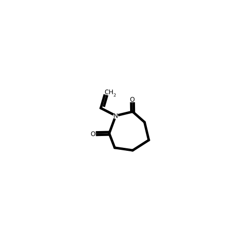 C=CN1C(=O)CCCCC1=O